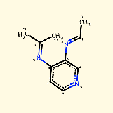 C/C=N/c1cnccc1N=C(C)C